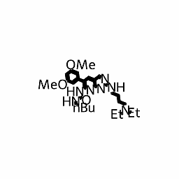 CCCCNC(=O)Nc1nc2nc(NCCCCN(CC)CC)ncc2cc1-c1cc(OC)cc(OC)c1